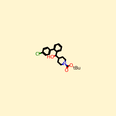 CC(C)(C)OC(=O)N1CCC(C(O)c2ccccc2-c2ccc(Cl)cc2)CC1